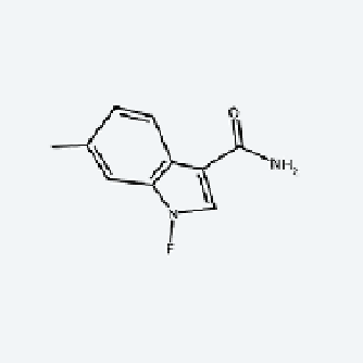 Cc1ccc2c(C(N)=O)cn(F)c2c1